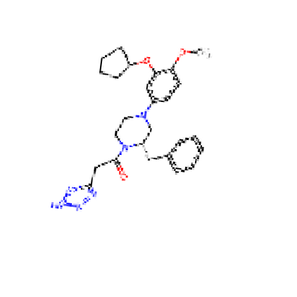 COc1ccc(N2CCN(C(=O)Cc3nn[nH]n3)[C@@H](Cc3ccccc3)C2)cc1OC1CCCC1